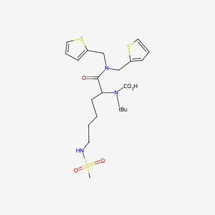 CC(C)(C)N(C(=O)O)C(CCCCNS(C)(=O)=O)C(=O)N(Cc1cccs1)Cc1cccs1